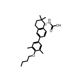 CCCCOc1c(C)cc(-c2ccc3c(c2)CCC(C)(C)[C@@H]3NC(=O)O)cc1C